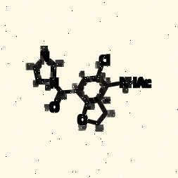 CC(=O)Nc1c(Cl)cc(C(=O)n2ccnc2)c2c1CCO2